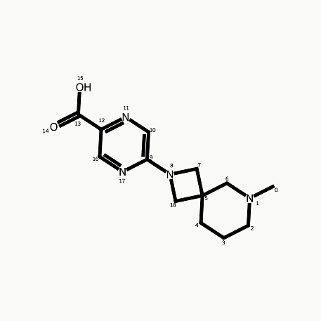 CN1CCCC2(C1)CN(c1cnc(C(=O)O)cn1)C2